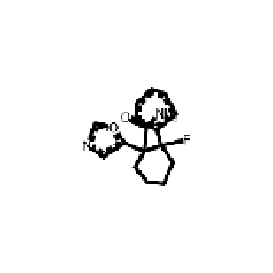 NC(=O)C1(c2cnco2)CCCCC1(F)c1ccccc1